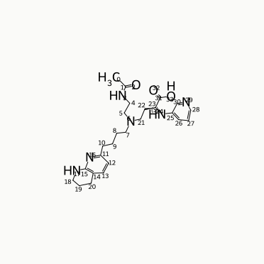 CC(=O)NCCN(CCCCc1ccc2c(n1)NCCC2)CC[C@H](Nc1cccnc1)C(=O)O